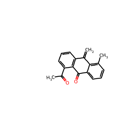 C=C1c2cccc(C(C)=O)c2C(=O)c2cccc(C)c21